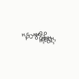 Cc1cc(NC(=O)c2coc(C(=O)C(=O)NC(C)(C)C)c2C)ccc1F